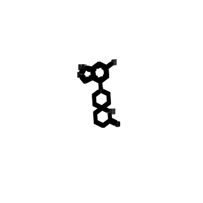 O=C1CCCC2(CCN(c3cc(Cl)cc4[nH]ncc34)CC2)N1